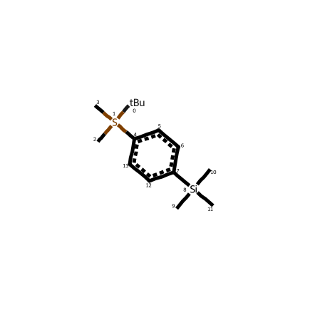 CC(C)(C)S(C)(C)c1ccc([Si](C)(C)C)cc1